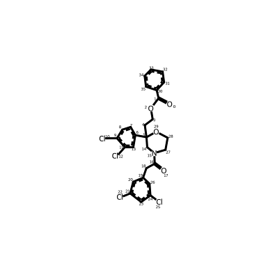 O=C(OCCC1(c2ccc(Cl)c(Cl)c2)CN(C(=O)Cc2cc(Cl)cc(Cl)c2)CCO1)c1ccccc1